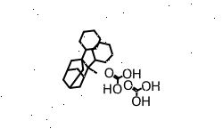 CC1(C2CCCCC2)C2CC3CC(C2)CC1(C1CCCCC1)C3.O=C(O)O.O=C(O)O